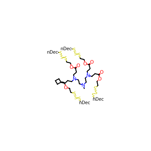 CCCCCCCCCCSSSCCOC(=O)CCN(CCC(=O)OCCSSSCCCCCCCCCC)CCN(C)CCN(CCC(=O)OCCSSSCCCCCCCCCC)CCC(OCCSSSCCCCCCCCCC)=C1CCC1